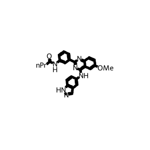 CCCC(=O)Nc1cccc(-c2nc(Nc3ccc4[nH]ncc4c3)c3cc(OC)ccc3n2)c1